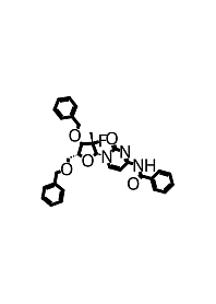 C[C@]1(F)[C@H](OCc2ccccc2)[C@@H](COCc2ccccc2)O[C@H]1n1ccc(NC(=O)c2ccccc2)nc1=O